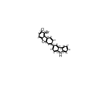 Clc1ccc2oc3cc(-c4ccc5[nH]c6ccccc6c5c4)ccc3c2c1Br